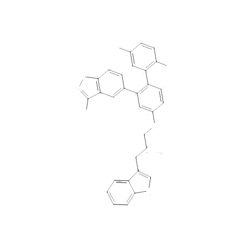 Cc1n[nH]c2ccc(-c3cc(OC[C@H](N)Cc4csc5ccccc45)ccc3-c3cc(F)ccc3O)cc12